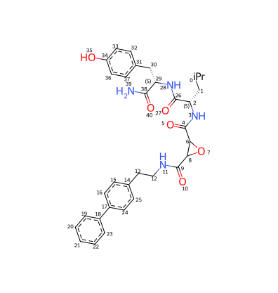 CC(C)C[C@H](NC(=O)C1OC1C(=O)NCCc1ccc(-c2ccccc2)cc1)C(=O)N[C@@H](Cc1ccc(O)cc1)C(N)=O